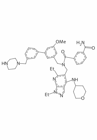 CCc1nc2c(cnn2CC)c(NC2CCOCC2)c1CN(Cc1cc(OC)cc(-c2cccc(CN3CCNCC3)c2)c1)C(=O)c1cccc(C(N)=O)c1